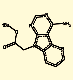 CC(C)(C)OC(=O)Cn1c2cccnc2c2c(N)ncnc21